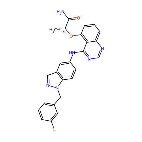 C[C@@H](Oc1cccc2ncnc(Nc3ccc4c(cnn4Cc4cccc(F)c4)c3)c12)C(N)=O